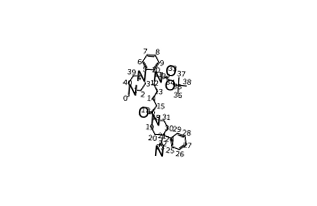 CN1CCN(c2ccccc2N(CCCCC(=O)N2CCC(C#N)(c3ccccc3)CC2)C(=O)OC(C)(C)C)CC1